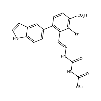 CCCCC(=O)NC(=O)NN=Cc1c(-c2ccc3[nH]ccc3c2)ccc(C(=O)O)c1Br